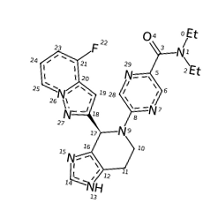 CCN(CC)C(=O)c1cnc(N2CCc3[nH]cnc3[C@H]2c2cc3c(F)cccn3n2)cn1